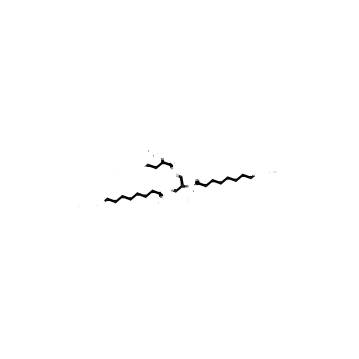 CCCCCCCCCCCCCCCCCC(=O)NC(COC(=O)CCCCCCCCCCCCCCCCC)COC(=O)C(CCC(=O)O)N=O